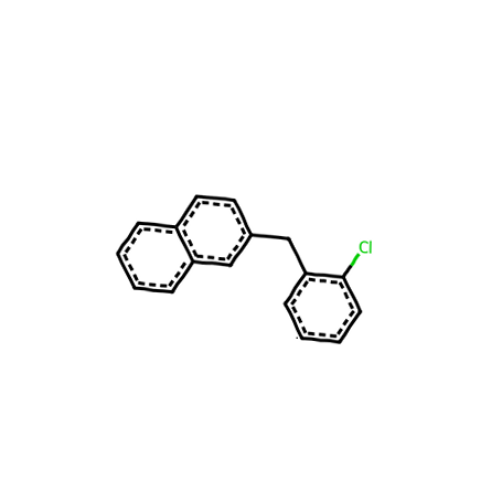 Clc1cc[c]cc1Cc1ccc2ccccc2c1